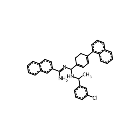 CC(NC(/N=C(\N)c1ccc2ccccc2c1)C1=CC=C(c2cccc3ccccc23)CC1)c1cccc(Cl)c1